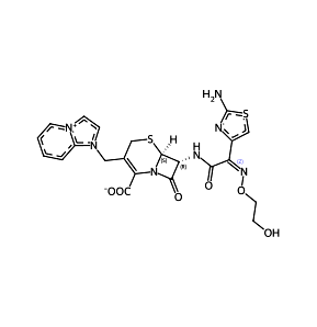 Nc1nc(/C(=N/OCCO)C(=O)N[C@@H]2C(=O)N3C(C(=O)[O-])=C(Cn4cc[n+]5ccccc45)CS[C@@H]23)cs1